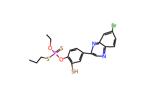 CCCSP(=S)(OCC)Oc1ccc(-c2cnc3ccc(Br)cc3n2)cc1S